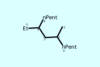 CCCCCC(C)[CH]C(CC)CCCCC